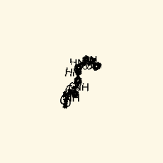 CC(C)C(NC(=O)OC(C)(C)C)C(=O)N1CCC[C@H]1C(=O)Nc1ccc(-c2cc3cc(NC(=O)[C@@H]4CCCN4C(=O)C(c4ccccc4)N(C)C)ccc3[nH]2)cc1